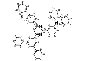 c1ccc(-c2cc(-c3ccccc3)cc(-c3nc(-c4cccc(-n5c6ccccc6c6ccccc65)c4)nc(-c4ccc5c(c4)sc4ccccc45)n3)c2)cc1